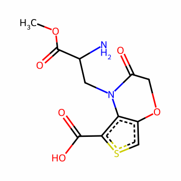 COC(=O)C(N)CN1C(=O)COc2csc(C(=O)O)c21